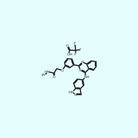 CC(C)NC(=O)COc1cccc(-c2nc(Nc3ccc4[nH]ncc4c3)c3ccccc3n2)c1.O=C(O)C(F)(F)F